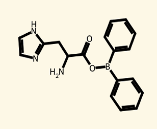 NC(Cc1ncc[nH]1)C(=O)OB(c1ccccc1)c1ccccc1